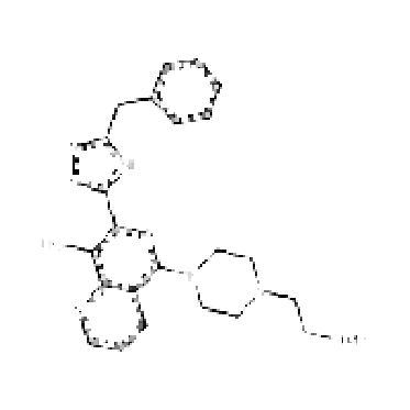 COCCN1CCN(c2nc(-c3nnc(Cc4ccccc4)[nH]3)c(O)c3ncccc23)CC1